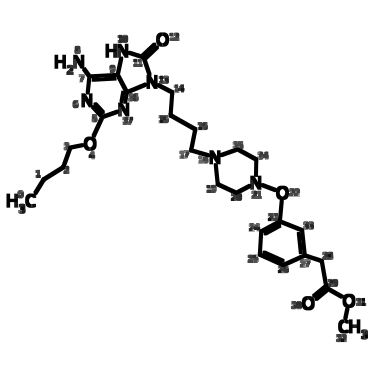 CCCCOc1nc(N)c2[nH]c(=O)n(CCCCN3CCN(Oc4cccc(CC(=O)OC)c4)CC3)c2n1